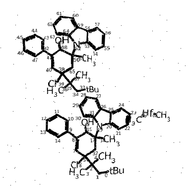 CC(C)(C)CC(C)(C)C1(Cl)C=C(c2ccccc2)C(O)C(C)(n2c3ccccc3c3ccccc32)C1.CC(C)(C)CC(C)(C)C1(Cl)C=C(c2ccccc2)C(O)C(C)(n2c3ccccc3c3ccccc32)C1.[CH3][Hf][CH3]